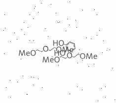 COCCOCCOC.COCCOCCOC.Oc1ccccc1O